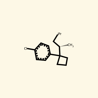 CC(C)C[C@H](C)C1(c2ccc(Cl)cc2)CCC1